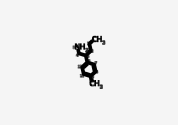 CC[CH]C(CN)c1ccc(C)cc1